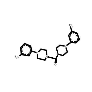 O=C(N1CCN(c2cccc(C(F)(F)F)c2)CC1)N1CCN(c2cccc(C(F)(F)F)c2)CC1